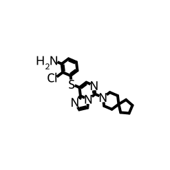 Nc1cccc(Sc2cnc(N3CCC4(CCCC4)CC3)n3ccnc23)c1Cl